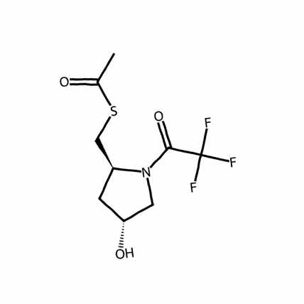 CC(=O)SC[C@@H]1C[C@@H](O)CN1C(=O)C(F)(F)F